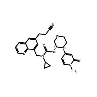 Cn1ccc([C@@H]2CCNC[C@H]2NC(=O)N(Cc2cc(CCC#N)cc3cccnc23)C2CC2)cc1=O